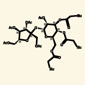 CCC(C)CC(=O)OC[C@H]1O[C@H](O[C@]2(COC(C)=O)O[C@H](COC(C)=O)[C@@H](OC(C)=O)[C@@H]2OC(C)=O)[C@H](OC(C)=O)[C@@H](OC(=O)CC(C)CC)[C@@H]1OC(=O)CC(C)CC